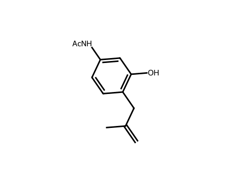 C=C(C)Cc1ccc(NC(C)=O)cc1O